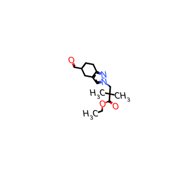 CCOC(=O)C(C)(C)Cn1cc2c(n1)CCC(C=O)C2